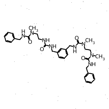 CN(CCNC(=O)NCc1cccc(CNC(=O)N(C)CCN(C)C(=O)NCc2ccccc2)c1)C(=O)NCc1ccccc1